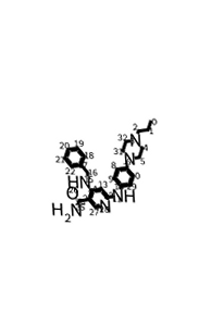 CCCN1CCN(c2ccc(Nc3cc(NCc4ccccc4)c(C(N)=O)cn3)cc2)CC1